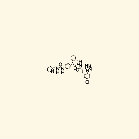 O=C(C=Cc1cc(Cl)ccc1-n1cnnn1)N[C@@H](Cc1ccccc1)C(=O)Nc1ccc(NC(=O)NCc2ccccn2)cc1